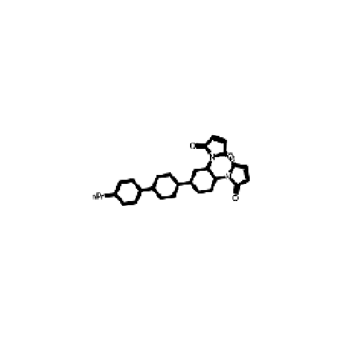 CCCC1CCC(C2CCC(C3CCC(N4C(=O)C=CC4=O)C(N4C(=O)C=CC4=O)C3)CC2)CC1